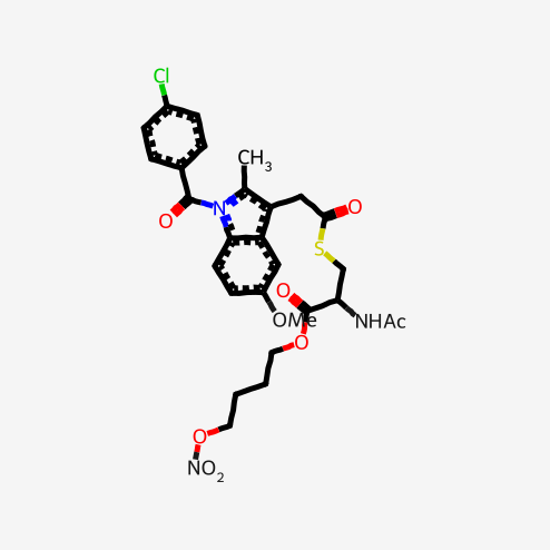 COc1ccc2c(c1)c(CC(=O)SCC(NC(C)=O)C(=O)OCCCCO[N+](=O)[O-])c(C)n2C(=O)c1ccc(Cl)cc1